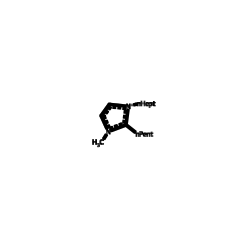 CCCCCCC[n+]1ccn(C)c1CCCCC